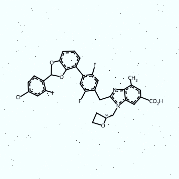 Cc1cc(C(=O)O)cc2c1nc(Cc1cc(F)c(-c3cccc4c3OC(c3ccc(Cl)cc3F)O4)cc1F)n2C[C@@H]1CCO1